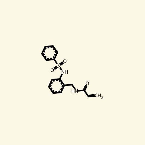 C=CC(=O)NCc1ccccc1NS(=O)(=O)c1ccccc1